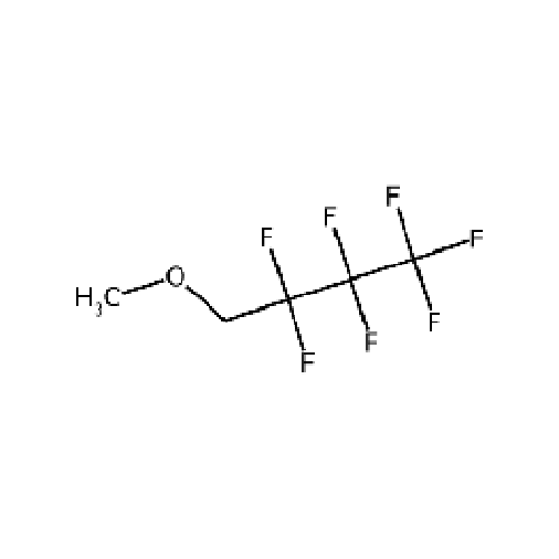 COCC(F)(F)C(F)(F)C(F)(F)F